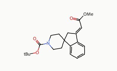 COC(=O)C=C1CC2(CCN(C(=O)OC(C)(C)C)CC2)c2ccccc21